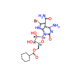 NC(=O)c1c(Br)[nH]c2c1c(N)nc(=O)n2[C@H]1O[C@@H](COC(=O)C2CCCCC2)[C@H](O)[C@H]1O